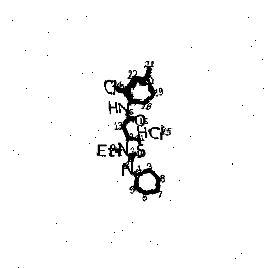 CCN1C(=NC2CCCCC2)SCC1CC(=O)Nc1ccc(C)cc1Cl.Cl